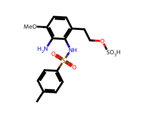 COc1ccc(CCOS(=O)(=O)O)c(NS(=O)(=O)c2ccc(C)cc2)c1N